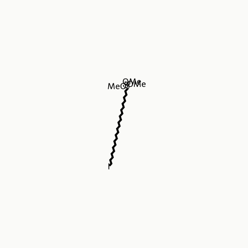 CO[Si](CCCCCCCCCCCCCCCCCCCCCCCCCI)(OC)OC